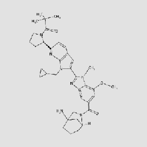 COc1cc(C(=O)N2CC3(N)CCC[C@H]2C3)cc2nc(-c3cc4ccc([C@H]5CCCN5C(=O)C(C)(C)C)nc4n3CC3CC3)n(C)c12